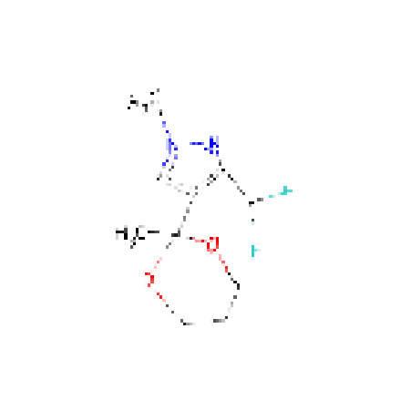 Cn1cc(C2(C)OCCCO2)c(C(F)F)n1